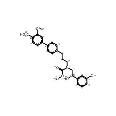 COc1cc(-c2ccc(CCCN(C[C@H](O)c3cccc(Cl)c3)C(=O)OC(C)(C)C)cc2)ccc1C(=O)O